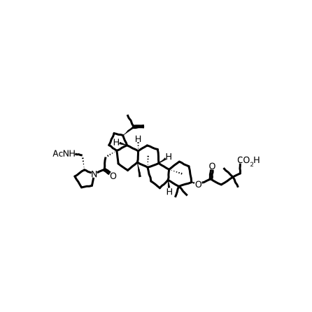 C=C(C)[C@@H]1CC[C@]2(CC(=O)N3CCC[C@@H]3CNC(C)=O)CC[C@]3(C)[C@H](CC[C@@H]4[C@@]5(C)CC[C@H](OC(=O)CC(C)(C)CC(=O)O)C(C)(C)[C@@H]5CC[C@]43C)[C@@H]12